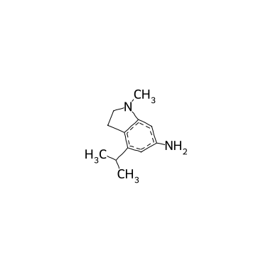 CC(C)c1cc(N)cc2c1CCN2C